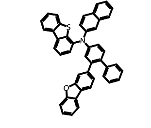 c1ccc(-c2ccc(N(c3ccc4ccccc4c3)c3cccc4c3sc3ccccc34)cc2-c2ccc3c(c2)oc2ccccc23)cc1